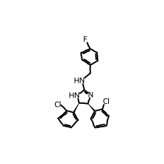 Fc1ccc(CNC2=N[C@@H](c3ccccc3Cl)[C@@H](c3ccccc3Cl)N2)cc1